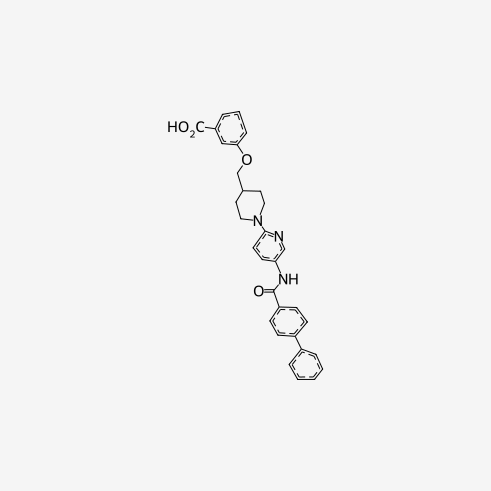 O=C(O)c1cccc(OCC2CCN(c3ccc(NC(=O)c4ccc(-c5ccccc5)cc4)cn3)CC2)c1